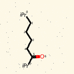 CC(C)CCCCC(=O)C(C)C